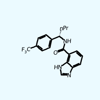 CCC[C@H](NC(=O)c1cccc2nc[nH]c12)c1ccc(C(F)(F)F)cc1